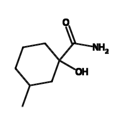 CC1CCCC(O)(C(N)=O)C1